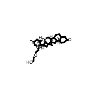 C[C@H]1C[C@H]2O[C@@]34CC[C@H]5C6CCC7=CC(=O)CC[C@]7(C)[C@H]6CC56CC63C[C@@H]4[C@@H]2N(CCOCCO)C1